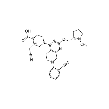 CN1CCC[C@H]1COc1nc2c(c(N3CCN(C(=O)O)[C@@H](CC#N)C3)n1)CCN(c1ccccc1C#N)C2